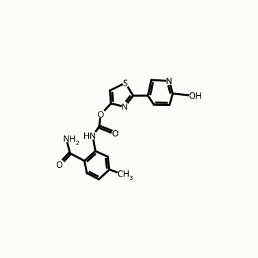 Cc1ccc(C(N)=O)c(NC(=O)Oc2csc(-c3ccc(O)nc3)n2)c1